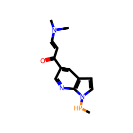 CPn1ccc2cc(C(=O)/C=C/N(C)C)cnc21